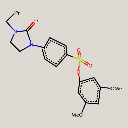 COc1cc(OC)cc(OS(=O)(=O)c2ccc(N3CCN(CC(C)C)C3=O)cc2)c1